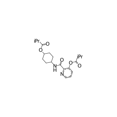 CC(C)C(=O)Oc1cccnc1C(=O)NC1CCC(OC(=O)C(C)C)CC1